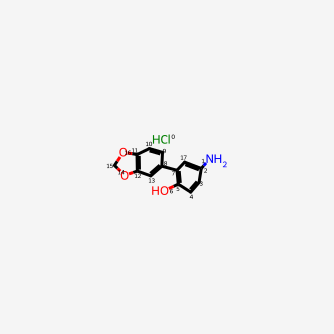 Cl.Nc1ccc(O)c(-c2ccc3c(c2)OCO3)c1